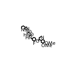 COc1cc2nccc(Oc3ccc(NC(=O)NC(=O)Cn4ncc5cccnc54)cc3F)c2cc1OC